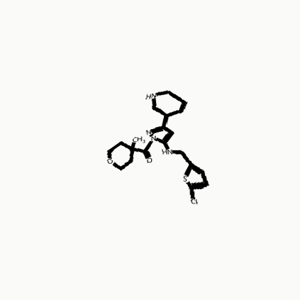 CC1(C(=O)n2nc(C3CCCNC3)cc2NCc2ccc(Cl)s2)CCOCC1